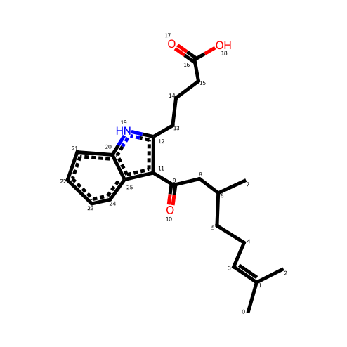 CC(C)=CCCC(C)CC(=O)c1c(CCCC(=O)O)[nH]c2ccccc12